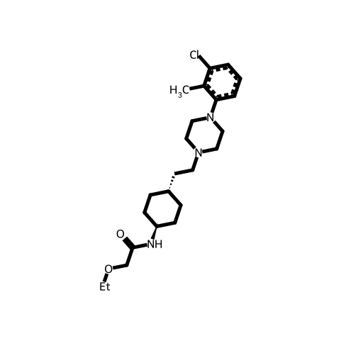 CCOCC(=O)N[C@H]1CC[C@H](CCN2CCN(c3cccc(Cl)c3C)CC2)CC1